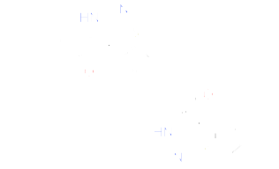 CCC1(c2ccc(CC3(C)CC(=O)C4=C(C3)Nc3ncsc3C4(C)c3ccccc3)cc2)C2=C(CC3(CCCC3)CC2=O)Nc2ncsc21